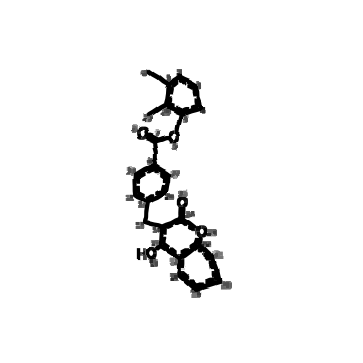 Cc1cccc(OC(=O)c2ccc(Cc3c(O)c4ccccc4oc3=O)cc2)c1C